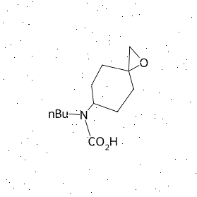 CCCCN(C(=O)O)C1CCC2(CC1)CO2